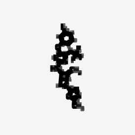 C=C1C(Nc2nc(Oc3cccc(F)c3)n(CC(F)(F)F)n2)C2CN(c3nnc(C)o3)C12